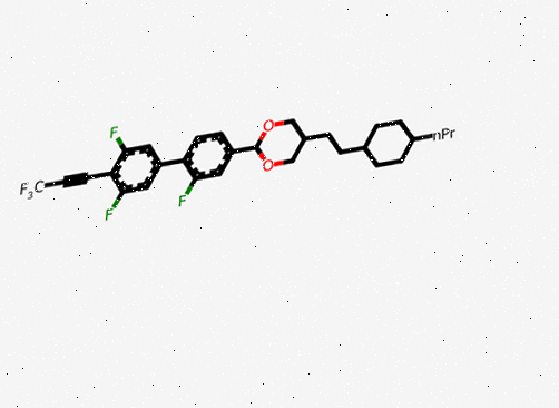 CCCC1CCC(CCC2COC(c3ccc(-c4cc(F)c(C#CC(F)(F)F)c(F)c4)c(F)c3)OC2)CC1